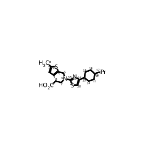 Cc1ccc(CN(CCC(=O)O)c2nc(C3CCC(C(C)C)CC3)cs2)s1